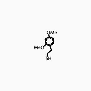 COc1ccc(CCS)c(OC)c1